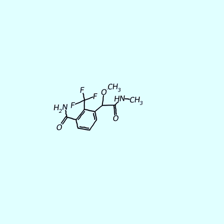 CNC(=O)C(OC)c1cccc(C(N)=O)c1C(F)(F)F